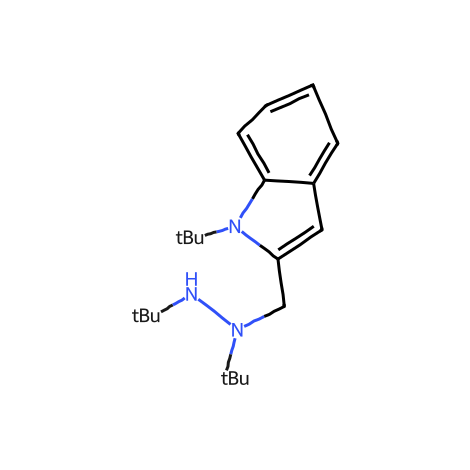 CC(C)(C)NN(Cc1cc2ccccc2n1C(C)(C)C)C(C)(C)C